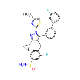 N[S+]([O-])c1ccc(Cc2c(C3CC3)nn(-c3nc(C(=O)O)cs3)c2-c2cccc(-c3cccc(F)c3)c2)c(F)c1